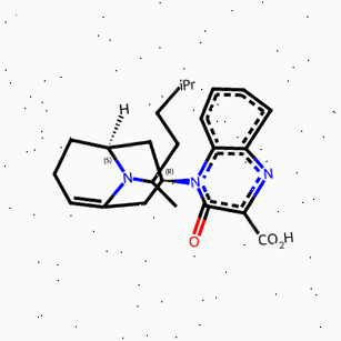 CC(C)CCC(C)N1C2=CCC[C@H]1C[C@@H](n1c(=O)c(C(=O)O)nc3ccccc31)C2